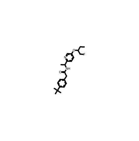 CCC(CF)Oc1ccc(C(C)NC(=O)Cc2ccc(C(C)(C)C)cc2)nc1